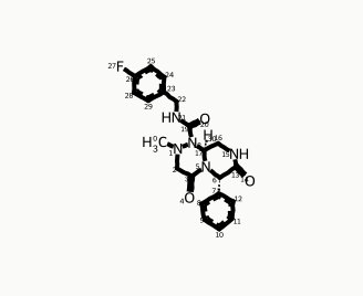 CN1CC(=O)N2[C@@H](c3ccccc3)C(=O)NC[C@@H]2N1C(=O)NCc1ccc(F)cc1